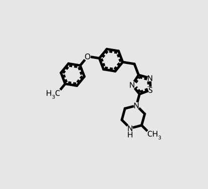 Cc1ccc(Oc2ccc(Cc3nsc(N4CCNC(C)C4)n3)cc2)cc1